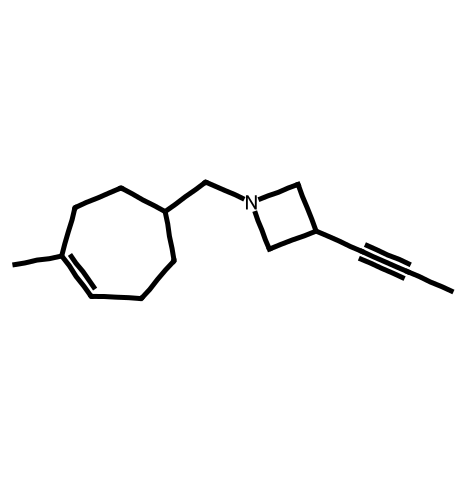 CC#CC1CN(CC2CCC=C(C)CC2)C1